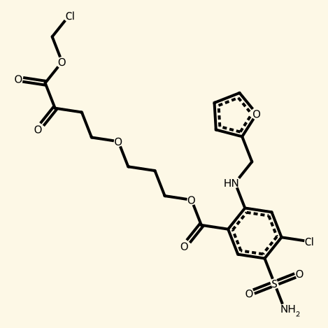 NS(=O)(=O)c1cc(C(=O)OCCCOCCC(=O)C(=O)OCCl)c(NCc2ccco2)cc1Cl